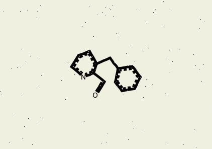 O=Cc1ncccc1Cc1ccccc1